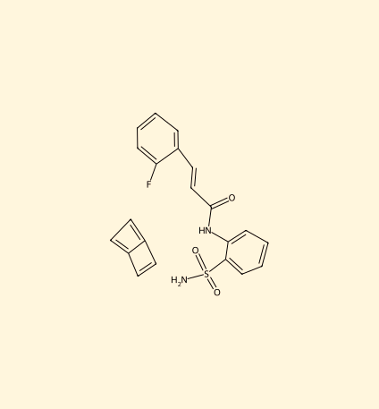 NS(=O)(=O)c1ccccc1NC(=O)C=Cc1ccccc1F.c1cc2ccc1-2